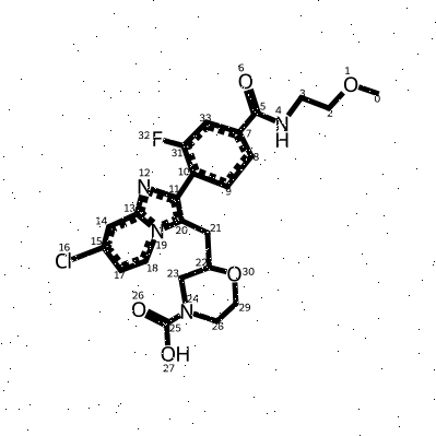 COCCNC(=O)c1ccc(-c2nc3cc(Cl)ccn3c2CC2CN(C(=O)O)CCO2)c(F)c1